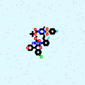 COC(=O)N[C@H](C(=O)Nc1cccc(F)c1CC[C@H]1CN(C(=O)OC(C)(C)C)C[C@@H](C)N1S(=O)(=O)c1ccc(F)cc1)[C@@H](c1ccc(Cl)cc1)C1CCOCC1